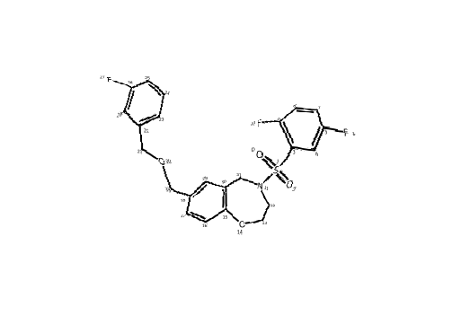 O=S(=O)(c1cc(F)ccc1F)N1CCOc2ccc(COCc3cccc(F)c3)cc2C1